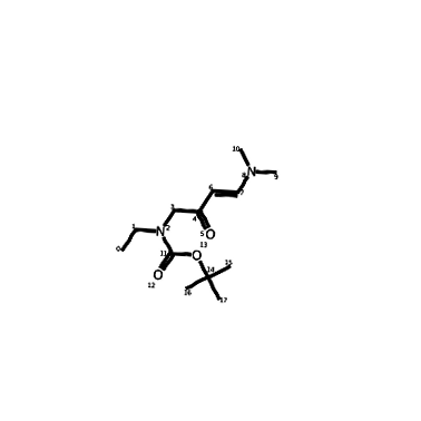 CCN(CC(=O)C=CN(C)C)C(=O)OC(C)(C)C